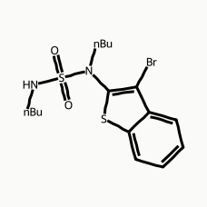 CCCCNS(=O)(=O)N(CCCC)c1sc2ccccc2c1Br